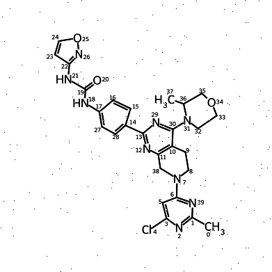 Cc1nc(Cl)cc(N2CCc3c(nc(-c4ccc(NC(=O)Nc5ccon5)cc4)nc3N3CCOCC3C)C2)n1